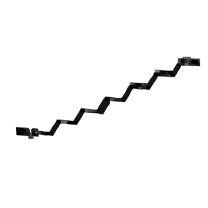 CCCCCCC=CC=CCC=CCCCCC(=O)O